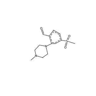 CN1CCN(c2cc(S(C)(=O)=O)ccc2C=O)CC1